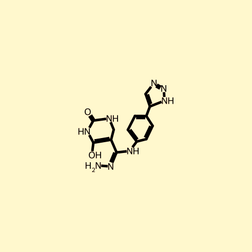 N/N=C(/Nc1ccc(-c2cnn[nH]2)cc1)C1=C(O)NC(=O)NC1